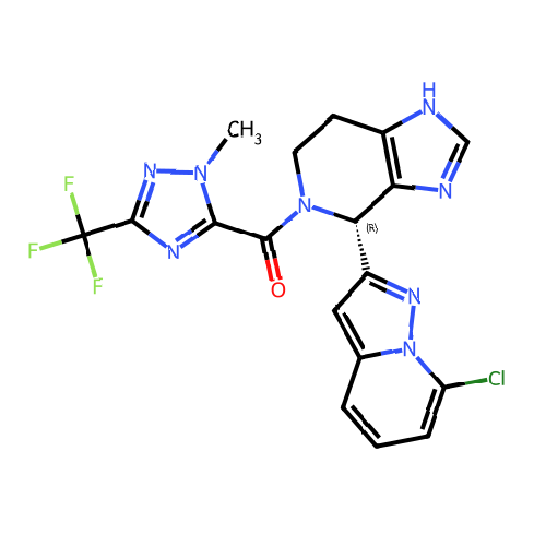 Cn1nc(C(F)(F)F)nc1C(=O)N1CCc2[nH]cnc2[C@@H]1c1cc2cccc(Cl)n2n1